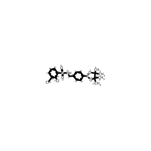 CC1(C)OB(c2ccc(CNS(=O)(=O)c3cccc(Cl)c3Cl)cc2)OC1(C)C